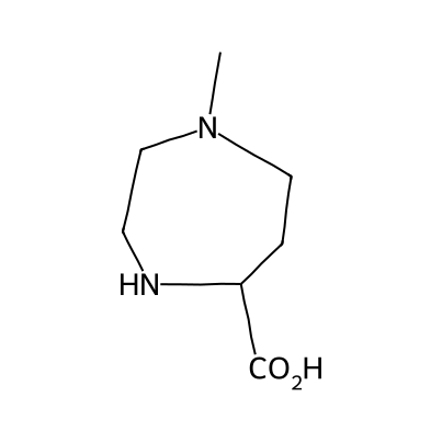 CN1CCNC(C(=O)O)CC1